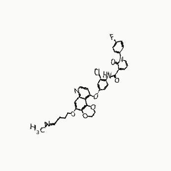 C/N=C/CCCOc1cc2nccc(Oc3ccc(NC(=O)c4cccn(-c5ccc(F)cc5)c4=O)c(Cl)c3)c2c2c1OCCO2